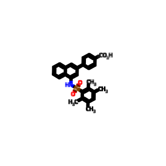 Cc1cc(C)c(C)c(S(=O)(=O)Nc2cc(-c3ccc(C(=O)O)cc3)cc3ccccc23)c1C